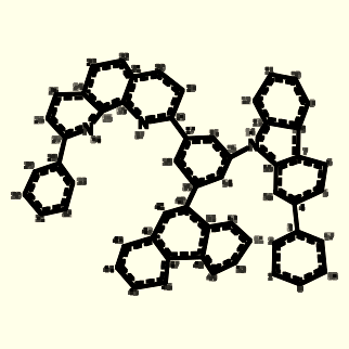 c1ccc(-c2ccc3c4ccccc4n(-c4cc(-c5ccc6ccc7ccc(-c8ccccc8)nc7c6n5)cc(-c5cc6ccccc6c6ccccc56)c4)c3c2)cc1